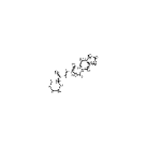 CC(/C=C/C(=O)N1CCCCC1)=C\c1ccc2c(c1)OCO2